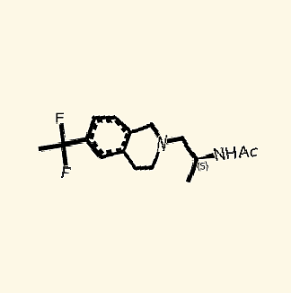 CC(=O)N[C@@H](C)CN1CCc2cc(C(C)(F)F)ccc2C1